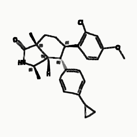 COc1ccc([C@@H]2CC[C@@]3(C)C(=O)N[C@H](C)[C@H]3[C@H]2c2ccc(C3CC3)cc2)c(Cl)c1